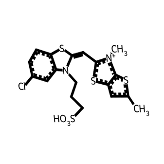 Cc1cc2sc(C=C3Sc4ccc(Cl)cc4N3CCCS(=O)(=O)O)[n+](C)c2s1